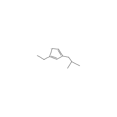 CCC1=CC(CC(C)C)=C[CH]1